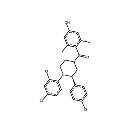 Cc1cc(O)cc(C)c1C(=O)N1CCN(c2ccc(Cl)cc2Cl)[C@H](c2ccc(Cl)cc2)C1